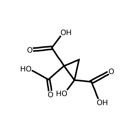 O=C(O)C1(O)CC1(C(=O)O)C(=O)O